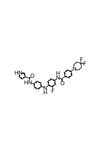 O=C(Nc1ccc(Nc2ccc(NC(=O)c3cc[nH]c3)cc2)c(F)c1)c1ccc(N2CCC(F)(F)CC2)cc1